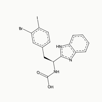 O=C(O)N[C@@H](Cc1ccc(I)c(Br)c1)c1nc2ccccc2[nH]1